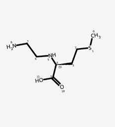 CSCC[C@H](NCCN)C(=O)O